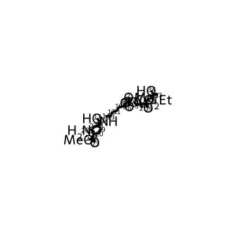 CCOC(=O)C(C)(COP(=O)(OC)OCCCCCCNC(O)c1ccc(C(=O)OC)c(N)c1)C(=O)CSC(C)O